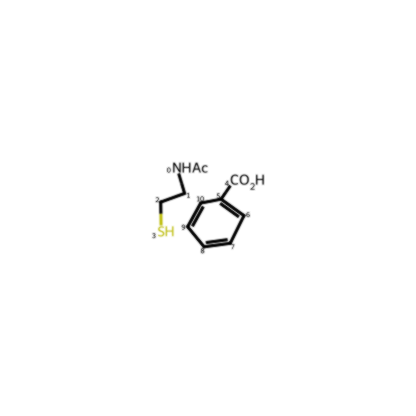 CC(=O)NCCS.O=C(O)c1ccccc1